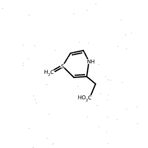 C=S1C=CNC(CC(=O)O)=C1